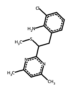 CSC(Cc1cccc(Cl)c1N)c1nc(C)cc(C)n1